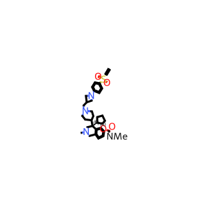 C#CS(=O)(=O)c1ccc(N2CC(CN3CCC(C4([C@H]5CCC[C@@H]5OC(=O)NC)CN(C)Cc5ccccc54)CC3)C2)cc1